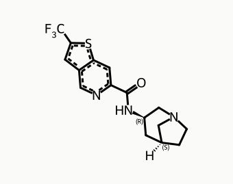 O=C(N[C@@H]1C[C@@H]2CCN(C2)C1)c1cc2sc(C(F)(F)F)cc2cn1